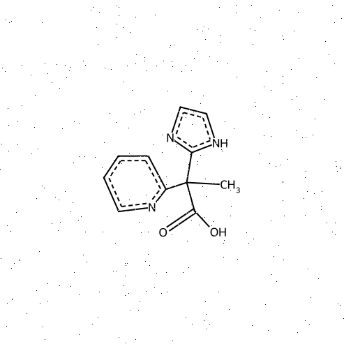 CC(C(=O)O)(c1ccccn1)c1ncc[nH]1